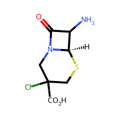 NC1C(=O)N2CC(Cl)(C(=O)O)CS[C@H]12